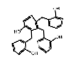 Oc1ccccc1Cc1ccc(O)c(Cc2ccccc2O)c1Cc1ccccc1O